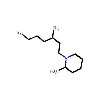 CC(C)CCCC(C)CCN1CCCCC1C(=O)O